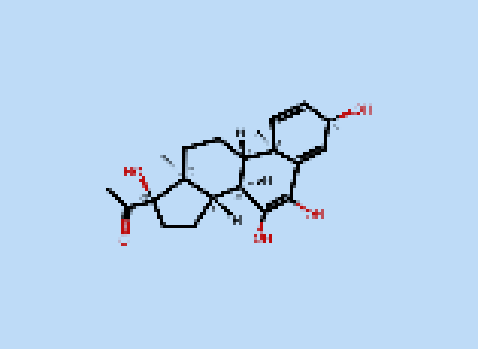 CC(=O)[C@@]1(O)CC[C@H]2[C@@H]3C(O)=C(O)C4=C[C@H](O)C=C[C@]4(C)[C@H]3CC[C@@]21C